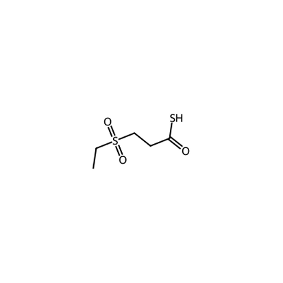 CCS(=O)(=O)CCC(=O)S